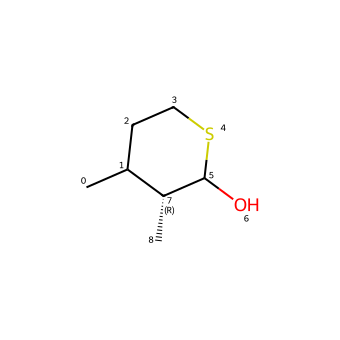 CC1CCSC(O)[C@@H]1C